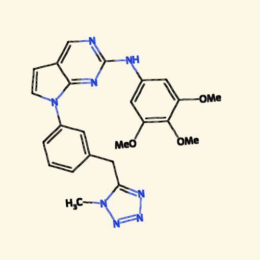 COc1cc(Nc2ncc3ccn(-c4cccc(Cc5nnnn5C)c4)c3n2)cc(OC)c1OC